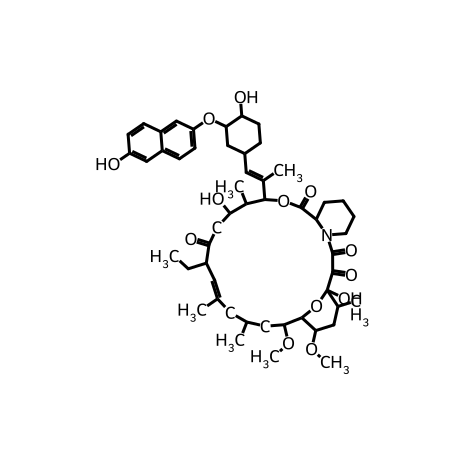 CCC1/C=C(\C)CC(C)CC(OC)C2OC(O)(C(=O)C(=O)N3CCCCC3C(=O)OC(C(C)=CC3CCC(O)C(Oc4ccc5cc(O)ccc5c4)C3)C(C)C(O)CC1=O)C(C)CC2OC